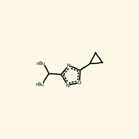 CCCCC(CCCC)c1noc(C2CC2)n1